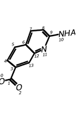 COC(=O)c1ccc2ccc(NC(C)=O)nc2c1